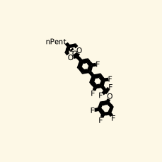 CCCCCC12COC(c3ccc(-c4cc(F)c(C(F)(F)OC5=CC(F)=C(F)C(F)C5)c(F)c4)c(F)c3)(OC1)OC2